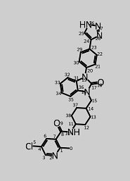 Cc1ncc(Cl)cc1C(=O)NC1CCC(Cn2c(=O)n(-c3ccc(-c4c[nH]nn4)cc3)c3ccccc32)CC1